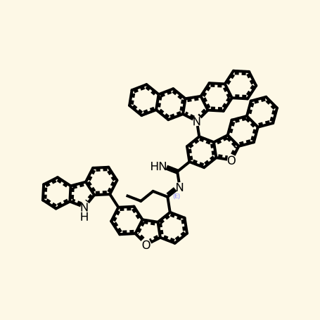 CCC/C(=N\C(=N)c1cc(-n2c3cc4ccccc4cc3c3cc4ccccc4cc32)c2c(c1)oc1cc3ccccc3cc12)c1cccc2oc3ccc(-c4cccc5c4[nH]c4ccccc45)cc3c12